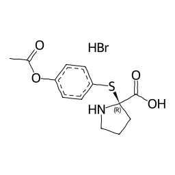 Br.CC(=O)Oc1ccc(S[C@@]2(C(=O)O)CCCN2)cc1